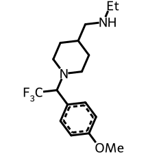 CCNCC1CCN(C(c2ccc(OC)cc2)C(F)(F)F)CC1